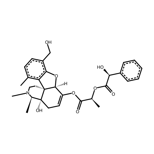 Cc1ccc(CO)c2c1[C@]13CCN(C)[C@H](C)[C@]1(O)CC=C(OC(=O)[C@H](C)OC(=O)[C@@H](O)c1ccccc1)[C@@H]3O2